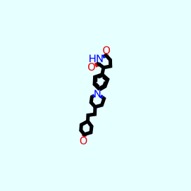 O=C1CCC(CCC2CCN(c3ccc(C4CCC(=O)NC4=O)cc3)CC2)CC1